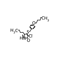 CCCCCOc1ccc(CSc2c(CCCC)n[nH]c(=O)c2Cl)cc1